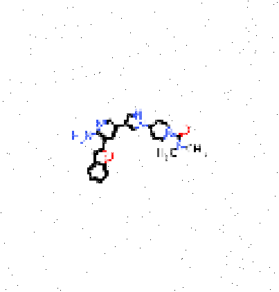 CN(C)C(=O)N1CCC(n2cc(-c3cnc(N)c(-c4cc5ccccc5o4)c3)cn2)CC1